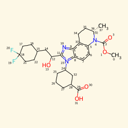 COC(=O)N1c2ccc3c(nc(C(O)CC4CCC(F)(F)CC4)n3C3CCCC(C(=O)O)C3)c2CC[C@@H]1C